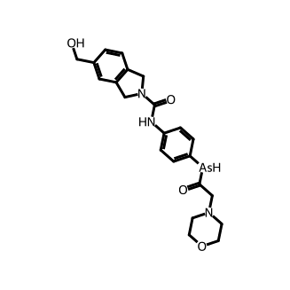 O=C(CN1CCOCC1)[AsH]c1ccc(NC(=O)N2Cc3ccc(CO)cc3C2)cc1